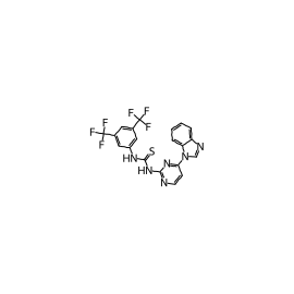 FC(F)(F)c1cc(NC(=S)Nc2nccc(-n3cnc4ccccc43)n2)cc(C(F)(F)F)c1